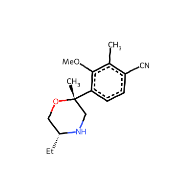 CC[C@@H]1CO[C@](C)(c2ccc(C#N)c(C)c2OC)CN1